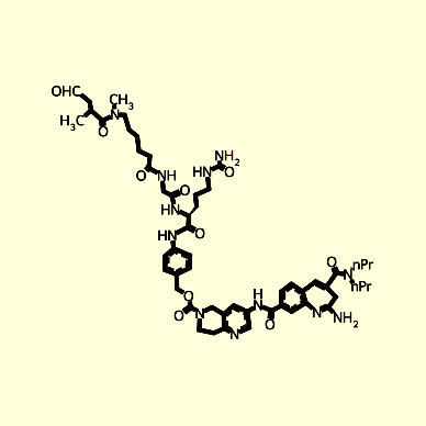 CCCN(CCC)C(=O)C1=Cc2ccc(C(=O)Nc3cnc4c(c3)CN(C(=O)OCc3ccc(NC(=O)[C@H](CCCNC(N)=O)NC(=O)CNC(=O)CCCCCN(C)C(=O)C(C)CC=O)cc3)CC4)cc2N=C(N)C1